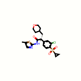 Cc1cnc(NC(=O)[C@H](CC2CCOCC2)c2ccc(S(=O)(=O)C3CC3)c(Cl)c2)s1